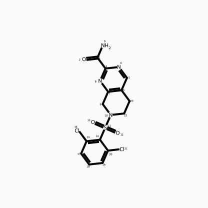 NC(=O)c1n[c]c2c(n1)CN(S(=O)(=O)c1c(Cl)cccc1Cl)CC2